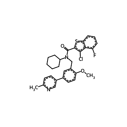 COc1ccc(-c2ccc(C)nc2)cc1CN(C(=O)c1sc2cccc(F)c2c1Cl)C1CCCCC1